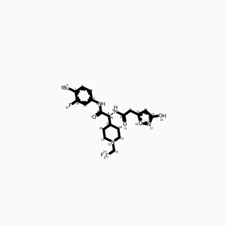 CC(C)(C)c1ccc(NC(=O)[C@H](NC(=O)Cc2cc(O)no2)C2CCN(CC(F)(F)F)CC2)cc1F